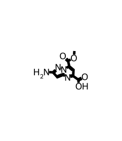 COC(=O)c1cc(C(=O)O)nc2cc(N)nn12